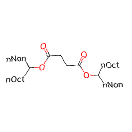 CCCCCCCCCC(CCCCCCCC)OC(=O)CCC(=O)OC(CCCCCCCC)CCCCCCCCC